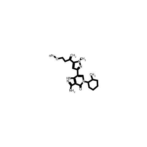 C=C(CCOCCC)c1cc(-c2cn(C3CCCCC3C)c(=O)c3c(N)n[nH]c23)nn1C